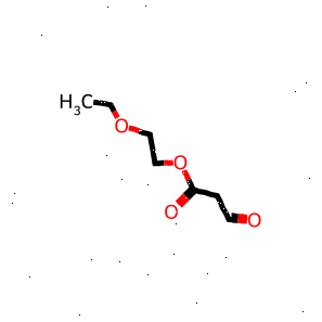 CCOCCOC(=O)CC=O